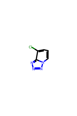 Clc1cccn2nnnc12